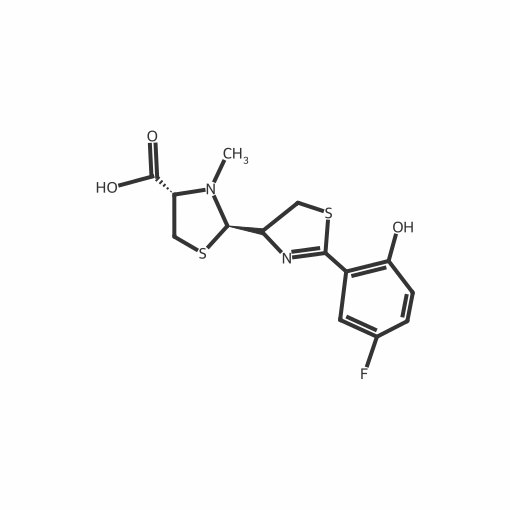 CN1[C@@H](C(=O)O)CS[C@@H]1C1CSC(c2cc(F)ccc2O)=N1